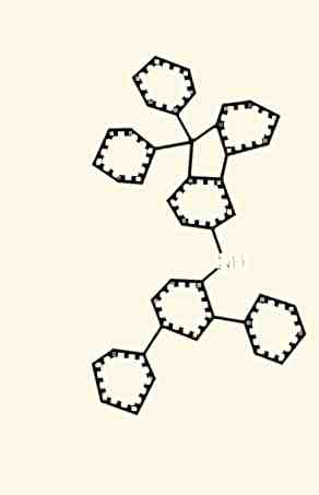 c1ccc(-c2ccc(Nc3ccc4c(c3)-c3ccccc3C4(c3ccccc3)c3ccccc3)c(-c3ccccc3)c2)cc1